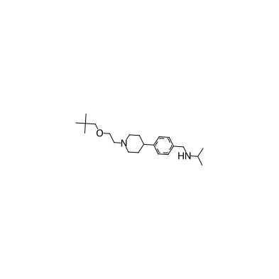 CC(C)NCc1ccc(C2CCN(CCOCC(C)(C)C)CC2)cc1